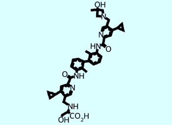 Cc1c(NC(=O)c2cc(C3CC3)c(CNC(CO)C(=O)O)cn2)cccc1-c1cccc(NC(=O)c2cc(C3CC3)c(CN3CC(C)(O)C3)cn2)c1C